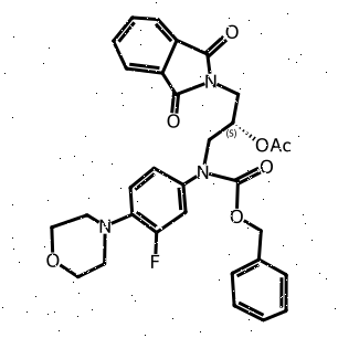 CC(=O)O[C@@H](CN1C(=O)c2ccccc2C1=O)CN(C(=O)OCc1ccccc1)c1ccc(N2CCOCC2)c(F)c1